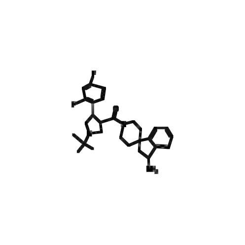 CC(C)(C)N1CC(C(=O)N2CCC3(CC2)CC(N)c2ccccc23)C(c2ccc(F)cc2F)C1